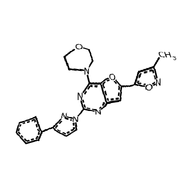 Cc1cc(-c2cc3nc(-n4ccc(-c5ccccc5)n4)nc(N4CCOCC4)c3o2)on1